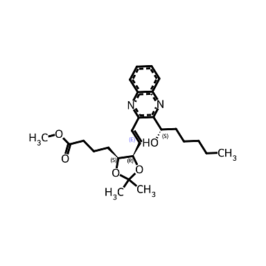 CCCCC[C@H](O)c1nc2ccccc2nc1/C=C/[C@H]1OC(C)(C)O[C@H]1CCCC(=O)OC